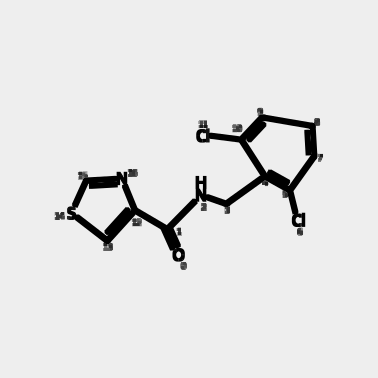 O=C(NCc1c(Cl)cccc1Cl)c1cscn1